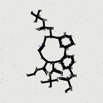 CCOC(=O)C1C/C=C/CC(NC(=O)OC(C)(C)C)c2cc(ccn2)-c2ccc(NC(=O)OC)cc2N1C(=O)OC(C)(C)C